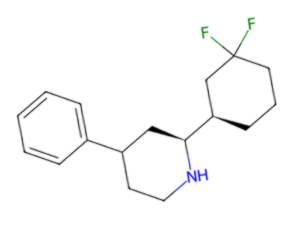 FC1(F)CCC[C@@H]([C@@H]2CC(c3ccccc3)CCN2)C1